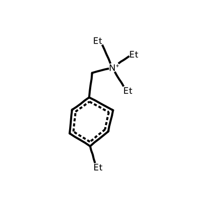 CCc1ccc(C[N+](CC)(CC)CC)cc1